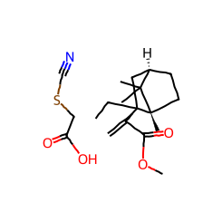 C=C(C(=O)OC)C1(CC)C[C@H]2CC[C@@]1(C)C2(C)C.N#CSCC(=O)O